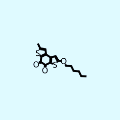 CCCCCCOc1cc2c(s1)C(=O)C(=O)c1sc(C)cc1-2